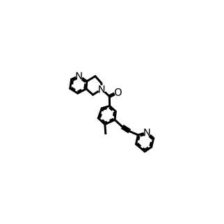 Cc1ccc(C(=O)N2CCc3ncccc3C2)cc1C#Cc1ccccn1